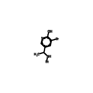 CCNC(C)c1cnc(O)c(Br)c1